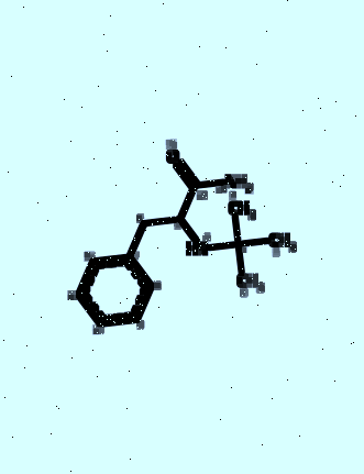 CC(C)(C)NC(Cc1ccccc1)C(N)=O